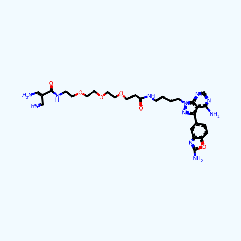 N=C/C(=C\N)C(=O)NCCOCCOCCOCCC(=O)NCCCCn1nc(-c2ccc3oc(N)nc3c2)c2c(N)ncnc21